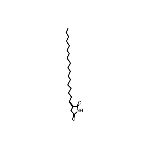 CCCCCCCCCCCCCCCCCC=C1CC(=O)NC1=O